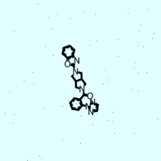 O=C(c1ccccc1-n1nccn1)N1CC2CN(c3nc4ccccc4o3)CC2C1